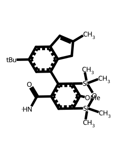 COc1c2cc(C([NH])=O)c(-c3cc(C(C)(C)C)cc4c3CC(C)=C4)c1[Si](C)(C)O[Si]2(C)C